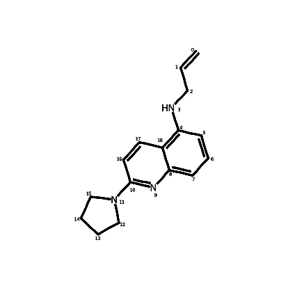 C=CCNc1cccc2nc(N3CCCC3)ccc12